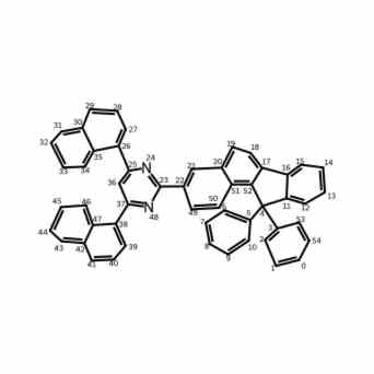 c1ccc(C2(c3ccccc3)c3ccccc3-c3ccc4cc(-c5nc(-c6cccc7ccccc67)cc(-c6cccc7ccccc67)n5)ccc4c32)cc1